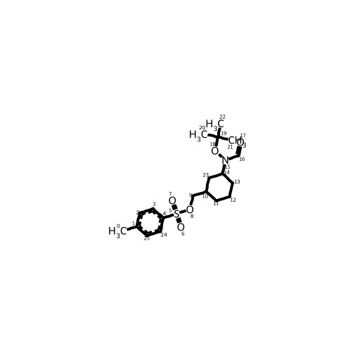 Cc1ccc(S(=O)(=O)OCC2CCCC(N(C=O)OC(C)(C)C)C2)cc1